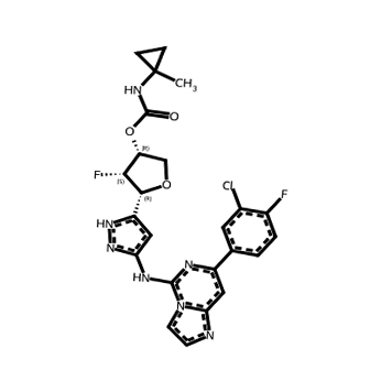 CC1(NC(=O)O[C@@H]2CO[C@H](c3cc(Nc4nc(-c5ccc(F)c(Cl)c5)cc5nccn45)n[nH]3)[C@@H]2F)CC1